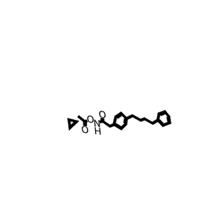 C1CC1.CC(=O)ONC(=O)Cc1ccc(CCCCc2ccccc2)cc1